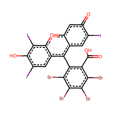 O=C(O)c1c(Br)c(Br)c(Br)c(Br)c1-c1c2cc(I)c(=O)cc-2oc2c(I)c(O)c(I)cc12